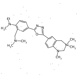 CCN(C)c1ccc(-c2nnc(-c3ccc4c(c3)C[N+](C)(C)CN4C)o2)cc1CN(C)C